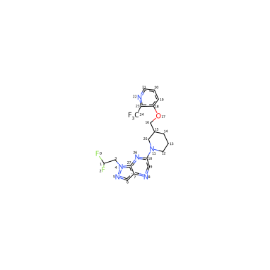 FC(F)Cn1ncc2ncc(N3CCCC(COc4cccnc4C(F)(F)F)C3)nc21